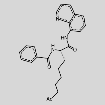 CC(=O)CCCCC[C@H](NC(=O)c1ccccc1)C(=O)Nc1cccc2cccnc12